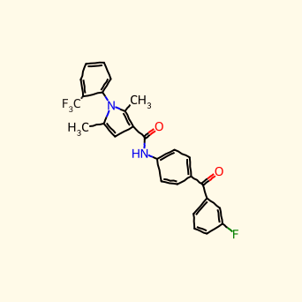 Cc1cc(C(=O)Nc2ccc(C(=O)c3cccc(F)c3)cc2)c(C)n1-c1ccccc1C(F)(F)F